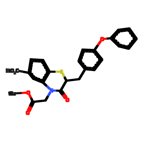 CCOC(=O)c1ccc2c(c1)N(CC(=O)OC(C)(C)C)C(=O)C(Cc1ccc(Oc3ccccc3)cc1)S2